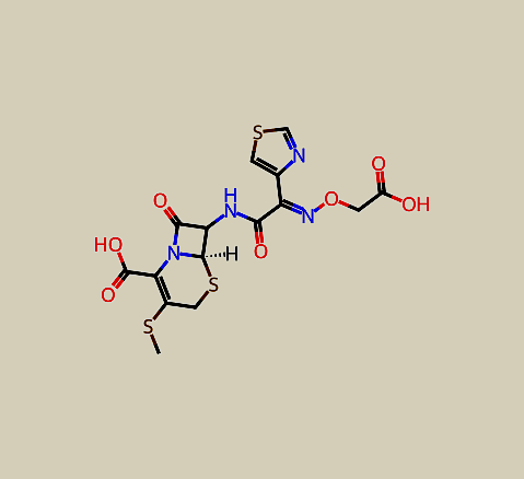 CSC1=C(C(=O)O)N2C(=O)C(NC(=O)/C(=N/OCC(=O)O)c3cscn3)[C@H]2SC1